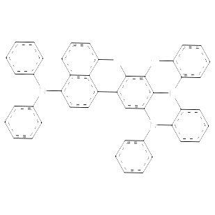 c1ccc(N2c3ccccc3B3c4ccccc4Oc4c5c(cc2c43)-c2ccc(N(c3ccccc3)c3ccccc3)c3cccc(c23)S5)cc1